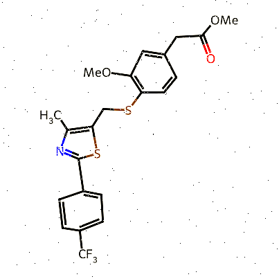 COC(=O)Cc1ccc(SCc2sc(-c3ccc(C(F)(F)F)cc3)nc2C)c(OC)c1